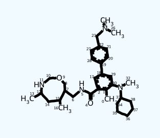 Cc1c(C(=O)NCC2COCNC(C)CC2C)cc(-c2ccc(CN(C)C)cc2)cc1N(C)C1CCCCC1